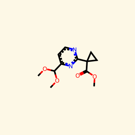 COC(=O)C1(c2nccc(C(OC)OC)n2)CC1